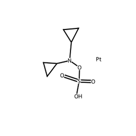 O=S(=O)(O)ON(C1CC1)C1CC1.[Pt]